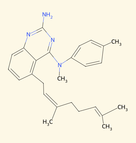 CC(C)=CCCC(C)=CCc1cccc2nc(N)nc(N(C)c3ccc(C)cc3)c12